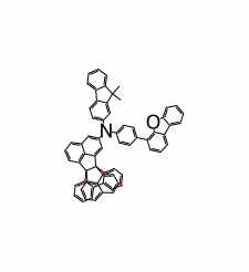 CC1(C)c2ccccc2-c2ccc(N(c3ccc(-c4cccc5c4oc4ccccc45)cc3)c3cc4c5c(cccc5c3)C35c6ccccc6-c6ccccc6C43c3cccc4cccc5c34)cc21